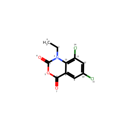 CCn1c(=O)oc(=O)c2cc(Cl)cc(Cl)c21